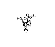 CC(C)(C)OC(=O)N(C(=O)O)c1ncnc2c1c(I)cn2C1COC1